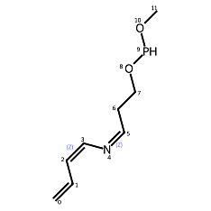 C=C/C=C\N=C/CCOPOC